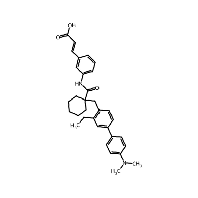 CCc1cc(-c2ccc(N(C)C)cc2)ccc1CC1(C(=O)Nc2cccc(/C=C/C(=O)O)c2)CCCCC1